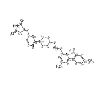 O=C1NC(=O)/C(=C/c2ccnc(N3CCC(CNCc4cc(C(F)(F)F)cc(-c5ccc(C(F)(F)F)cc5C(F)(F)F)n4)CC3)n2)S1